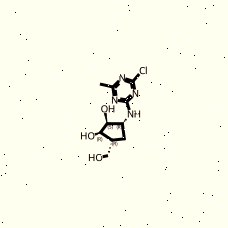 Cc1nc(Cl)nc(N[C@@H]2C[C@H](CO)[C@@H](O)[C@H]2O)n1